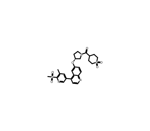 Cc1cc(-c2ccnc3ccc(O[C@H]4CCN(C(=O)C5CCS(=O)(=O)CC5)C4)cc23)cnc1S(C)(=O)=O